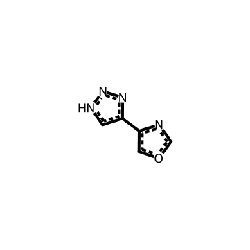 c1nc(-c2c[nH]nn2)co1